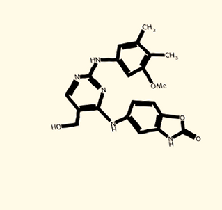 COc1cc(Nc2ncc(CO)c(Nc3ccc4oc(=O)[nH]c4c3)n2)cc(C)c1C